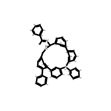 C/C(=N\C1NCc2ccc(-c3ccccc3)c(c2)-c2cccc(c2)N(c2ccccc2)c2cccc(c2)-c2cccc1c2)c1ccccc1